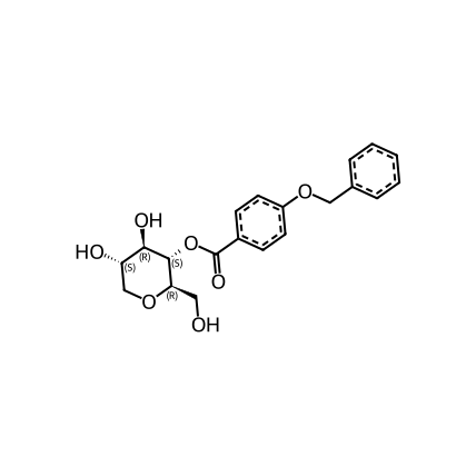 O=C(O[C@H]1[C@H](O)[C@@H](O)CO[C@@H]1CO)c1ccc(OCc2ccccc2)cc1